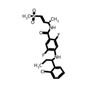 CCC(Nc1cc(F)c(C(=O)N[C@H](C)/C=C/S(C)(=O)=O)cc1F)c1ccccc1Cl